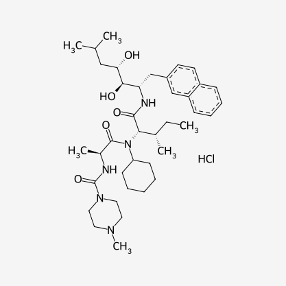 CC[C@H](C)[C@@H](C(=O)N[C@@H](Cc1ccc2ccccc2c1)[C@@H](O)[C@@H](O)CC(C)C)N(C(=O)[C@H](C)NC(=O)N1CCN(C)CC1)C1CCCCC1.Cl